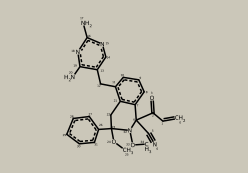 C=CC(=O)C1(C#N)c2cccc(Cc3cnc(N)nc3N)c2CC(OC)(c2ccccc2)N1OC